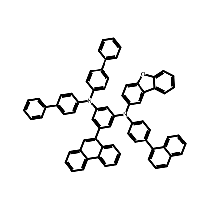 c1ccc(-c2ccc(N(c3ccc(-c4ccccc4)cc3)c3cc(-c4cc5ccccc5c5ccccc45)cc(N(c4ccc(-c5cccc6ccccc56)cc4)c4ccc5oc6ccccc6c5c4)c3)cc2)cc1